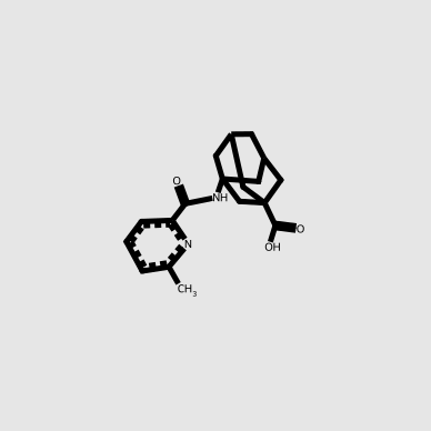 Cc1cccc(C(=O)NC23CC4CC(C2)CC(C(=O)O)(C4)C3)n1